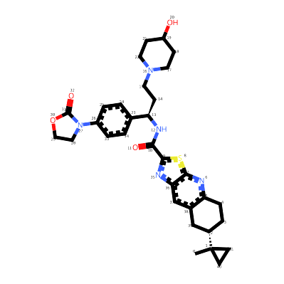 CC1([C@H]2CCc3nc4sc(C(=O)N[C@H](CCN5CCC(O)CC5)c5ccc(N6CCOC6=O)cc5)nc4cc3C2)CC1